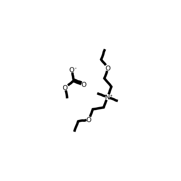 CCOCC[N+](C)(C)CCOCC.COC(=O)[O-]